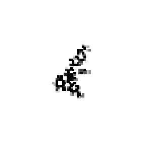 CC(=O)N1CCC(CC(=O)N2CCN(C(c3ccccc3)c3ccc(Br)cn3)C[C@@H]2C(C)(C)C)CC1